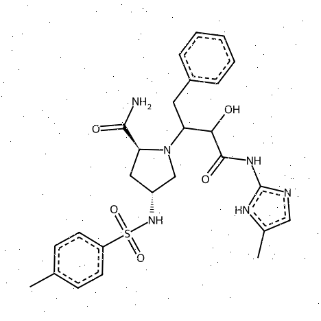 Cc1ccc(S(=O)(=O)N[C@@H]2C[C@@H](C(N)=O)N(C(Cc3ccccc3)C(O)C(=O)Nc3ncc(C)[nH]3)C2)cc1